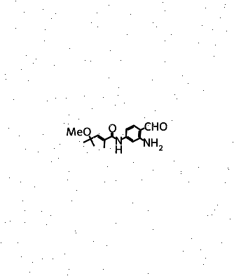 COC(C)(C)/C=C(\C)C(=O)Nc1ccc(C=O)c(N)c1